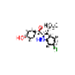 O=C(O)Cc1c(C(=O)c2ccc(O)cc2)[nH]c2cc(Cl)ccc12